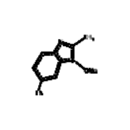 COn1c(C)nc2ccc(C#N)cc21